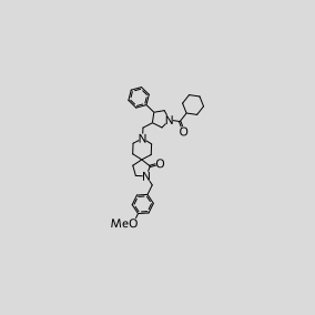 COc1ccc(CN2CCC3(CCN(CC4CN(C(=O)C5CCCCC5)CC4c4ccccc4)CC3)C2=O)cc1